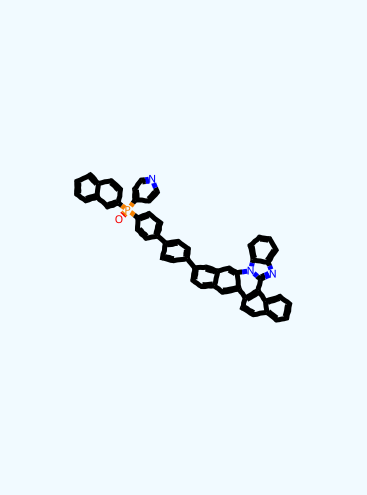 O=P(c1ccncc1)(c1ccc(-c2ccc(-c3ccc4cc5c6ccc7ccccc7c6c6nc7ccccc7n6c5cc4c3)cc2)cc1)c1ccc2ccccc2c1